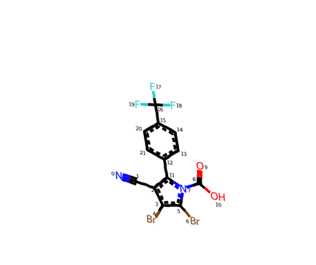 N#Cc1c(Br)c(Br)n(C(=O)O)c1-c1ccc(C(F)(F)F)cc1